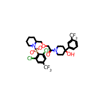 O=C(COCC1CCCCN1S(=O)(=O)c1c(Cl)cc(C(F)(F)F)cc1Cl)N1CCC(O)(c2cccc(C(F)(F)F)c2)CC1